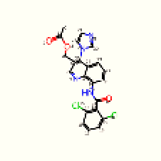 CC(=O)OCc1cnc2c(NC(=O)c3c(Cl)cccc3Cl)cccc2c1-n1ccnc1